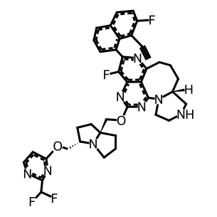 C#Cc1c(F)ccc2cccc(-c3nc4c5c(nc(OC[C@@]67CCCN6[C@H](COc6ccnc(C(F)F)n6)CC7)nc5c3F)N3CCNC[C@H]3CCC4)c12